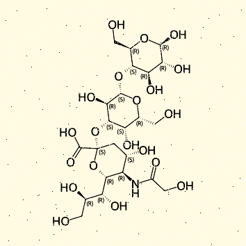 O=C(CO)N[C@H]1[C@H]([C@H](O)[C@H](O)CO)O[C@@](O[C@H]2[C@@H](O)[C@@H](CO)O[C@@H](O[C@H]3[C@H](O)[C@@H](O)[C@H](O)O[C@@H]3CO)[C@@H]2O)(C(=O)O)C[C@@H]1O